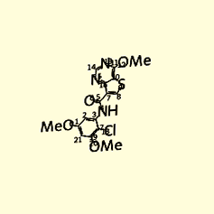 COc1cc(NC(=O)c2csc3c(OC)ncnc23)c(Cl)c(OC)c1